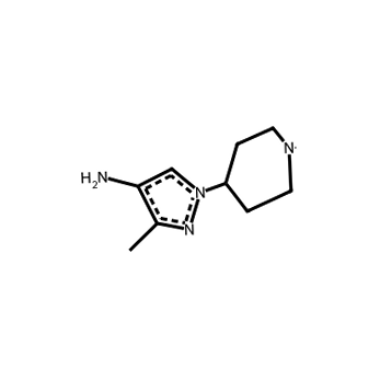 Cc1nn(C2CC[N]CC2)cc1N